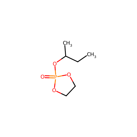 CCC(C)OP1(=O)OCCO1